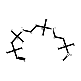 C=CC(C)(C)CC(C)(C)OCCC(C)(C)OCCC(C)(C)OC